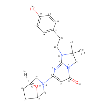 CC1(C(F)(F)F)Cn2c(nc(N3CC4CC[C@@H](C3)O4)cc2=O)N1CCc1ccc(O)cc1